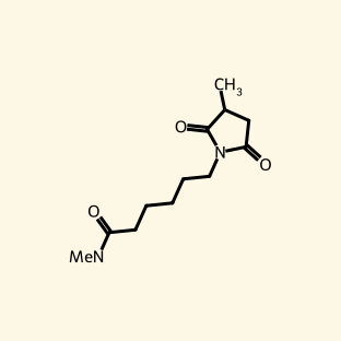 CNC(=O)CCCCCN1C(=O)CC(C)C1=O